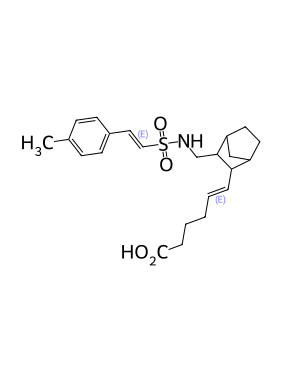 Cc1ccc(/C=C/S(=O)(=O)NCC2C3CCC(C3)C2/C=C/CCCC(=O)O)cc1